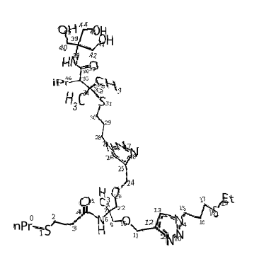 CCCSCCC(=O)NC(C)(COCc1cn(CCCSCC)nn1)COCc1cn(CCCSC(C)(C)C(C(=O)NC(CO)(CO)CO)C(C)C)nn1